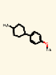 CCCCOc1ccc(C2CCC(C)CC2)cc1